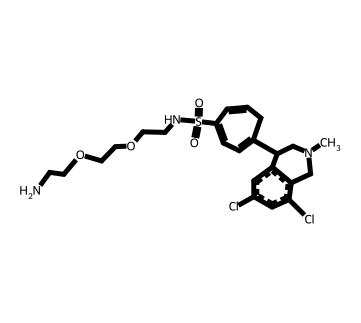 CN1Cc2c(Cl)cc(Cl)cc2C(C2=CC=C(S(=O)(=O)NCCOCCOCCN)C=CC2)C1